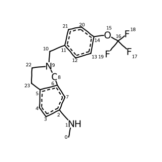 CNc1ccc2c(c1)CN(Cc1ccc(OC(F)(F)F)cc1)CC2